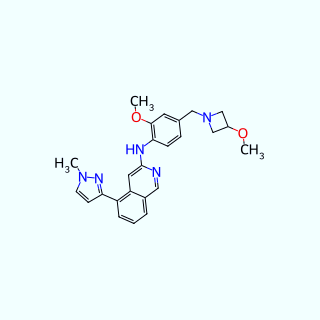 COc1cc(CN2CC(OC)C2)ccc1Nc1cc2c(-c3ccn(C)n3)cccc2cn1